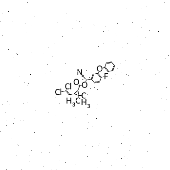 CC1(C)[C@H](C(=O)OC(C#N)c2ccc(F)c(Oc3ccccc3)c2)[C@@H]1C=C(Cl)Cl